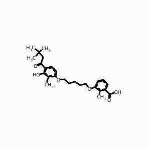 Cc1c(OCCCCCOc2ccc(C(=O)CC(C)(C)C)c(O)c2C)cccc1C(=O)O